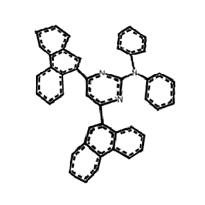 c1ccc(N(c2ccccc2)c2nc(-c3cc4ccccc4c4ccccc34)cc(-c3cc4ccccc4c4ccccc34)n2)cc1